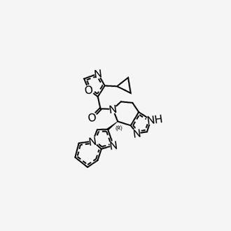 O=C(c1ocnc1C1CC1)N1CCc2[nH]cnc2[C@H]1c1cn2ccccc2n1